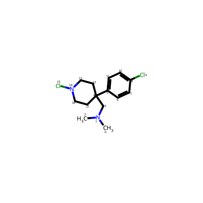 CN(C)CC1(c2ccc(Cl)cc2)CCN(Cl)CC1